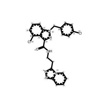 O=C(NCCc1nnc2ccccn12)c1nn(Cc2ccc(Cl)cc2)c2cccc(Cl)c12